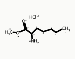 CCCCCC(N)C(=O)OC.Cl